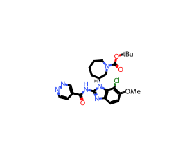 COc1ccc2nc(NC(=O)c3ccnnc3)n([C@@H]3CCCCN(C(=O)OC(C)(C)C)C3)c2c1Cl